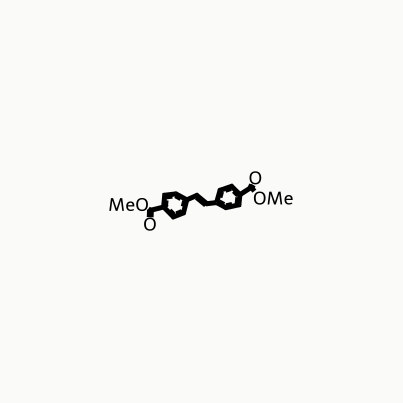 COC(=O)c1ccc(C=Cc2ccc(C(=O)OC)cc2)cc1